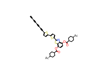 C#CC#CC#CC#Cc1ccc(-c2ccc(-c3nc4c(OC(=O)C5CCC(C(C)=O)CC5)ccc(OC(=O)C5CCC(C(C)=O)CC5)c4s3)s2)s1